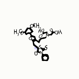 COc1cc(OC)cc(-c2cc(CCCN(CC(=O)O)CC(=O)O)c(/C=C3\SC(=S)N(C4CC5CCC4C5)C3=O)o2)c1